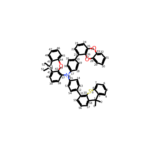 CC1(C)c2ccccc2Sc2c(-c3ccc(N(c4ccc(-c5cccc6c5Oc5ccccc5O6)cc4)c4cccc5c4Oc4ccccc4[Si]5(C)C)cc3)cccc21